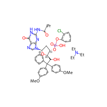 CCN(CC)CC.COc1ccc(C(c2ccccc2)(c2ccc(OC)cc2)C(O)[C@H]2O[C@@H](n3cnc4c(=O)[nH]c(NC(=O)C(C)C)nc43)C[C@@H]2OP(=O)(O)Oc2ccccc2Cl)cc1